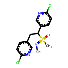 CS(=O)(=NC#N)C(Cc1ccc(Cl)nc1)c1ccc(Cl)nc1